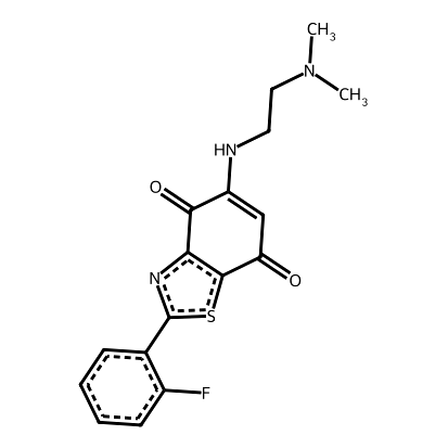 CN(C)CCNC1=CC(=O)c2sc(-c3ccccc3F)nc2C1=O